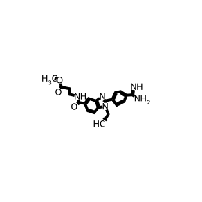 C#CCn1c(-c2ccc(C(=N)N)cc2)nc2cc(C(=O)NCCC(=O)OC)ccc21